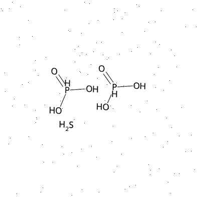 O=[PH](O)O.O=[PH](O)O.S